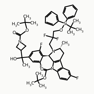 C[C@@H]1Cc2c(n(C(=O)OC(C)(C)C)c3ccc(F)cc23)[C@@H](c2c(F)cc(C(C)(O)C3CN(C(=O)OC(C)(C)C)C3)cc2F)N1CC(F)(F)CO[Si](c1ccccc1)(c1ccccc1)C(C)(C)C